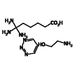 NC(N)(N)CCCCC(=O)O.NCCO.c1cnnnc1